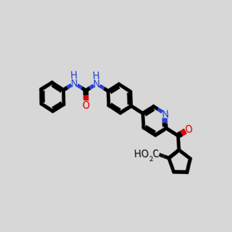 O=C(Nc1ccccc1)Nc1ccc(-c2ccc(C(=O)C3CCCC3C(=O)O)nc2)cc1